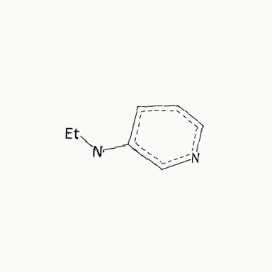 CC[N]c1cccnc1